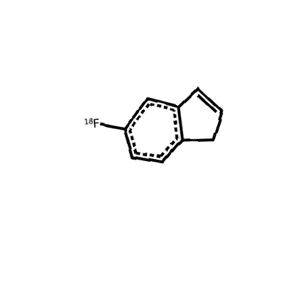 [18F]c1ccc2c(c1)C=CC2